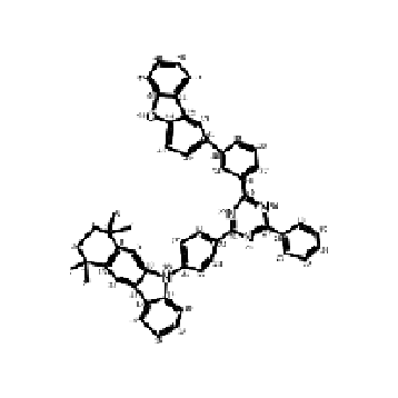 CC1(C)CCC(C)(C)c2cc3c(cc21)c1ccccc1n3-c1ccc(-c2nc(-c3ccccc3)nc(-c3cccc(-c4ccc5oc6ccccc6c5c4)c3)n2)cc1